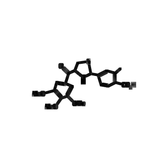 COc1cc(C(=O)C2CSC(c3ccc(C(=O)O)c(C)c3)N2)cc(OC)c1OC